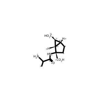 CC(N)C(=O)N[C@@]1(C(=O)O)CC[C@H]2[C@H](C(=O)O)[C@H]21